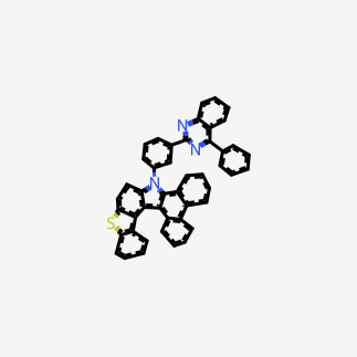 c1ccc(-c2nc(-c3cccc(-n4c5ccc6sc7ccccc7c6c5c5c6ccccc6c6ccccc6c54)c3)nc3ccccc23)cc1